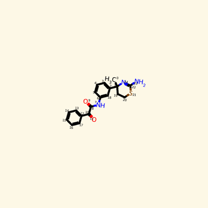 CC1(c2cccc(NC(=O)C(=O)c3ccccc3)c2)CCSC(N)=N1